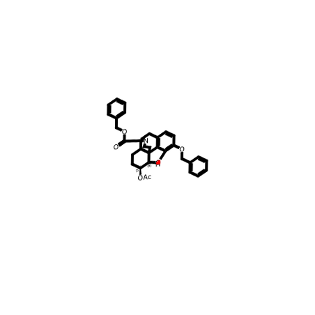 CC(=O)O[C@H]1CCC2C3Cc4ccc(OCc5ccccc5)c5c4C2(CCN3C(=O)OCc2ccccc2)[C@H]1O5